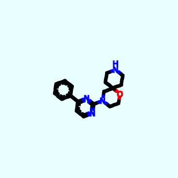 c1ccc(-c2ccnc(N3CCOC4(CCNCC4)C3)n2)cc1